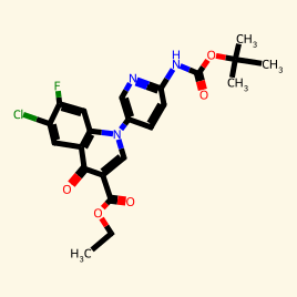 CCOC(=O)c1cn(-c2ccc(NC(=O)OC(C)(C)C)nc2)c2cc(F)c(Cl)cc2c1=O